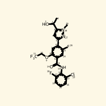 CC(O)c1cc(-c2cc(OCC(F)(F)F)c(C(=O)Nc3c(F)cccc3Cl)cc2F)nn1C